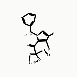 CCOC(OCC)(OCC)C(=O)c1c(F)c(F)cn1[C@H](C)c1ccccc1